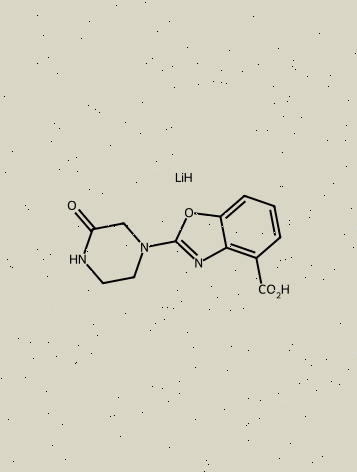 O=C1CN(c2nc3c(C(=O)O)cccc3o2)CCN1.[LiH]